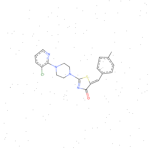 Cc1ccc(/C=C2\SC(N3CCN(c4ncccc4Cl)CC3)=NC2=O)cc1